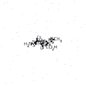 CC/C=C(\C(=O)N[C@@H]1C(=O)N2C(C(=O)O)=C(Sc3nnc(C)s3)CS[C@H]12)c1csc(N)n1